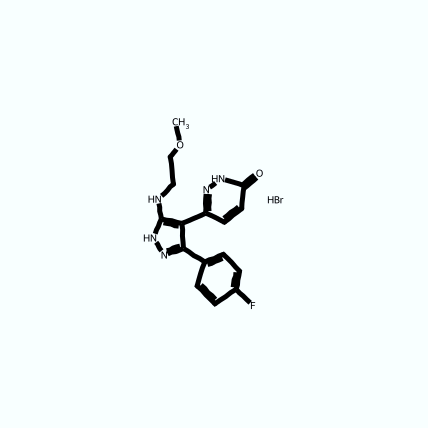 Br.COCCNc1[nH]nc(-c2ccc(F)cc2)c1-c1ccc(=O)[nH]n1